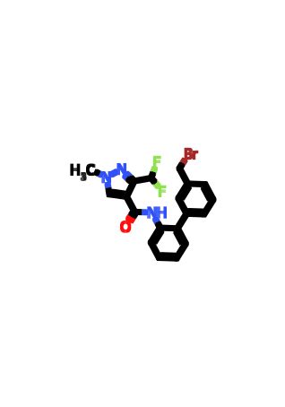 Cn1cc(C(=O)Nc2ccccc2-c2cccc(CBr)c2)c(C(F)F)n1